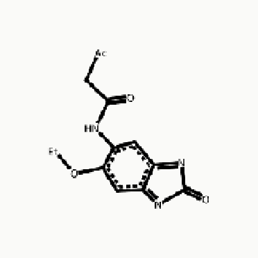 CCOc1cc2c(cc1NC(=O)CC(C)=O)=NC(=O)N=2